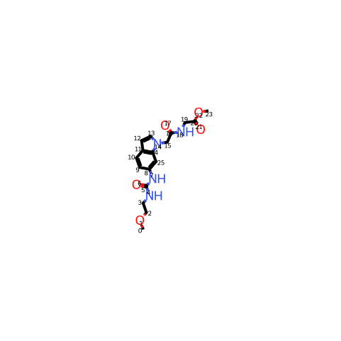 COCCNC(=O)Nc1ccc2ccn(CC(=O)NCC(=O)OC)c2c1